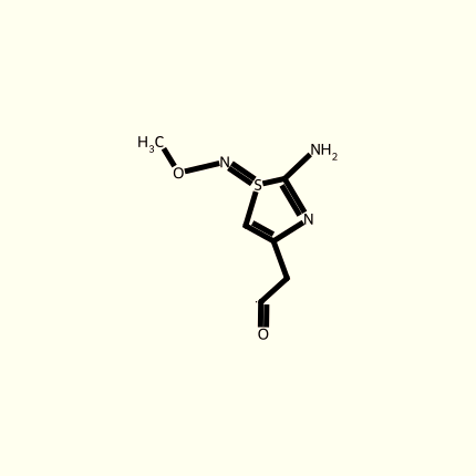 CON=S1C=C(C[C]=O)N=C1N